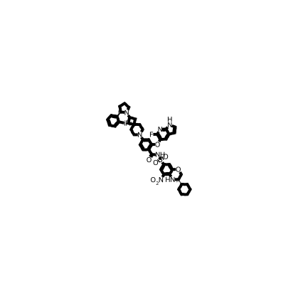 CC(C)c1ccccc1[C@H]1CCCN1C1CC2(CCN(c3ccc(C(=O)NS(=O)(=O)c4cc5c(c([N+](=O)[O-])c4)N[C@@H](C4CCCCC4)CO5)c(Oc4cc5cc[nH]c5nc4F)c3)CC2)C1